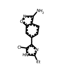 CCc1nc(-c2ccc3c(N)noc3c2)c(Cl)[nH]1